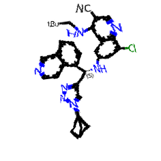 CC(C)(C)CNc1c(C#N)cnc2c(Cl)cc(N[C@H](c3cn(C45CC(C4)C5)nn3)c3cccc4cnccc34)cc12